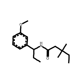 CCC(NC(=O)CC(C)(C)CC)c1cccc(OC)c1